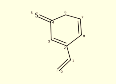 [CH]=CC1=CC(=S)CC=C1